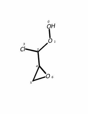 OOC(Cl)C1CO1